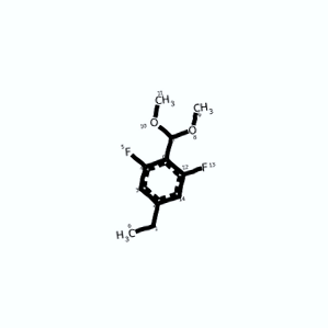 CCc1cc(F)c(C(OC)OC)c(F)c1